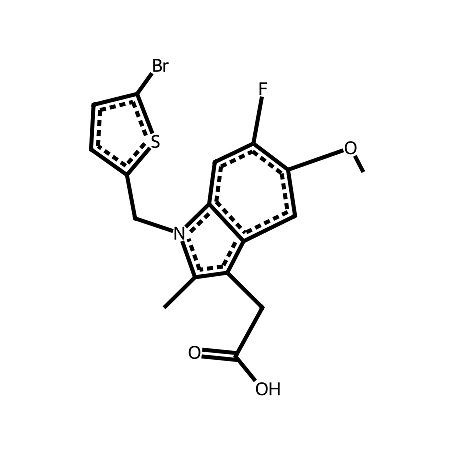 COc1cc2c(CC(=O)O)c(C)n(Cc3ccc(Br)s3)c2cc1F